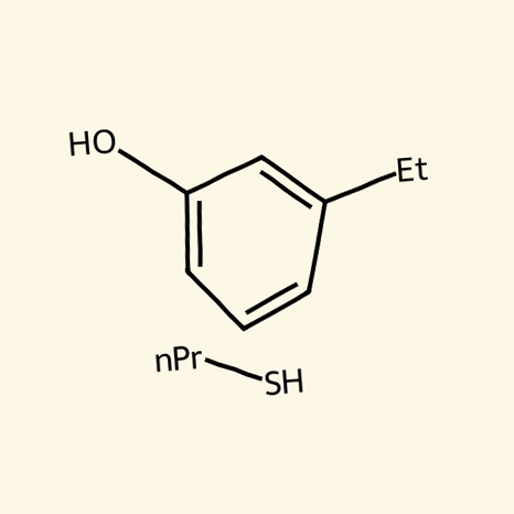 CCCS.CCc1cccc(O)c1